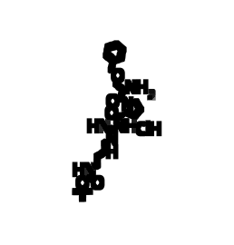 CC(C)(C)OC(=O)NCCCCNC(=N)NC(=O)[C@@H]1CCCN1C(=O)[C@H](N)COCc1ccccc1.Cl